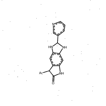 CC(=O)C1C(=O)Nc2cc3c(cc21)NC(c1cccnc1)N3